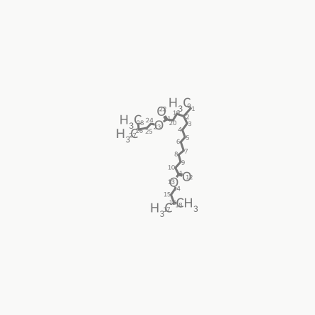 CCC(CCCCCCCCC(=O)OCCC(C)C)CCC(=O)OCCC(C)C